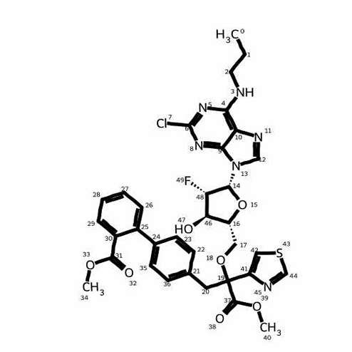 CCCNc1nc(Cl)nc2c1ncn2[C@@H]1O[C@H](COC(Cc2ccc(-c3ccccc3C(=O)OC)cc2)(C(=O)OC)c2cscn2)[C@@H](O)[C@@H]1F